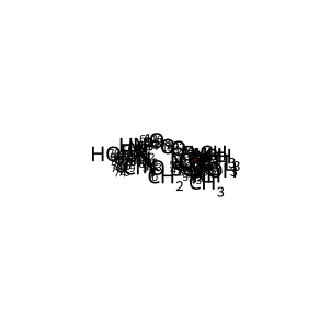 C=CC(=O)N1CCN(c2nc(Nc3ccc(OCCOCCOCCOCC(=O)NC(C(=O)N4C[C@H](O)C[C@H]4C(=O)NC(C)c4ccc(-c5scnc5C)cc4)C(C)(C)C)cc3)nc3c(F)c(-c4cc(O)cc5ccccc45)c(Cl)cc23)CC1